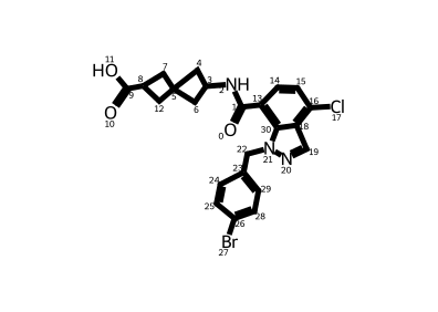 O=C(NC1CC2(C1)CC(C(=O)O)C2)c1ccc(Cl)c2cnn(Cc3ccc(Br)cc3)c12